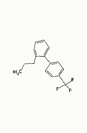 [CH2]CCc1ccccc1-c1ccc(C(F)(F)F)cc1